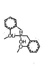 [Li][PH](O)(Cc1ccccc1OC)Cc1ccccc1OC